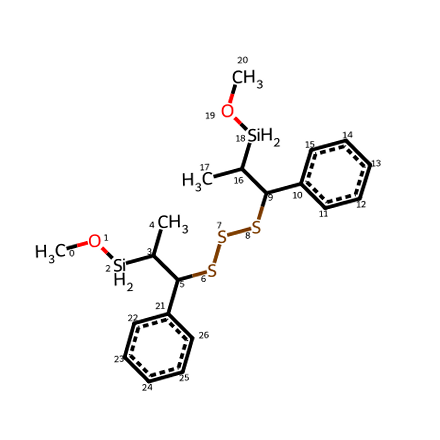 CO[SiH2]C(C)C(SSSC(c1ccccc1)C(C)[SiH2]OC)c1ccccc1